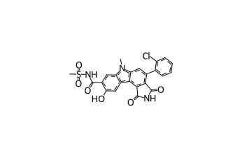 Cn1c2cc(C(=O)NS(C)(=O)=O)c(O)cc2c2c3c(c(-c4ccccc4Cl)cc21)C(=O)NC3=O